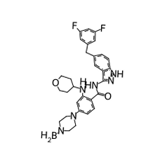 BN1CCN(c2ccc(C(=O)Nc3n[nH]c4ccc(Cc5cc(F)cc(F)c5)cc34)c(NC3CCOCC3)c2)CC1